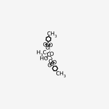 Cc1ccc(S(=O)(=O)OC[C@@H]2O[C@@H](COS(=O)(=O)c3ccc(C)cc3)[C@@H](O)[C@@H]2C)cc1